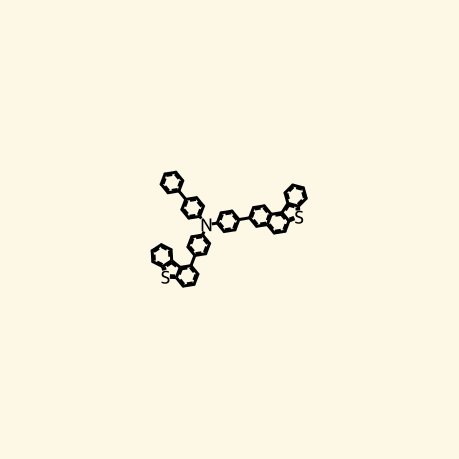 c1ccc(-c2ccc(N(c3ccc(-c4ccc5c(ccc6sc7ccccc7c65)c4)cc3)c3ccc(-c4cccc5sc6ccccc6c45)cc3)cc2)cc1